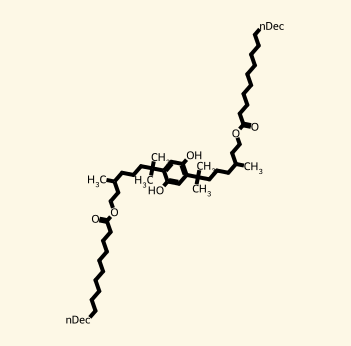 CCCCCCCCCCCCCCCCCCCC(=O)OCCC(C)CCCC(C)(C)c1cc(O)c(C(C)(C)CCCC(C)CCOC(=O)CCCCCCCCCCCCCCCCCCC)cc1O